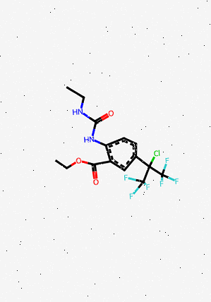 CCNC(=O)Nc1ccc(C(Cl)(C(F)(F)F)C(F)(F)F)cc1C(=O)OCC